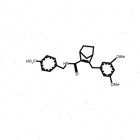 COc1cc(CC2=C(C(=O)NCc3ccc(C(=O)O)cc3)C3CCC2C3)cc(OC)c1